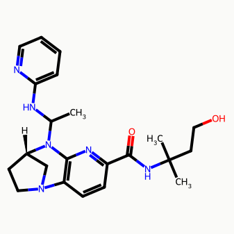 CC(Nc1ccccn1)N1c2nc(C(=O)NC(C)(C)CCO)ccc2N2CC[C@H]1C2